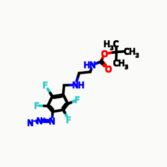 CC(C)(C)OC(=O)NCCNCc1c(F)c(F)c(N=[N+]=[N-])c(F)c1F